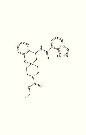 CCOC(=O)N1CCC2(CC1)CC(NC(=O)c1cccc3cn[nH]c13)c1ncccc1O2